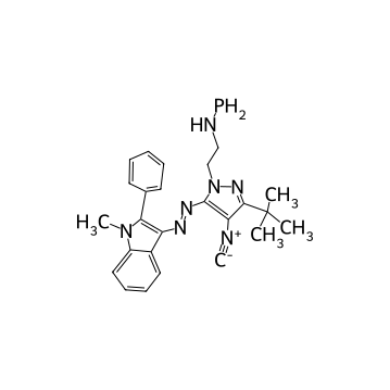 [C-]#[N+]c1c(C(C)(C)C)nn(CCNP)c1/N=N/c1c(-c2ccccc2)n(C)c2ccccc12